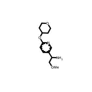 COCC(N)c1ccc(OC2CCOCC2)nc1